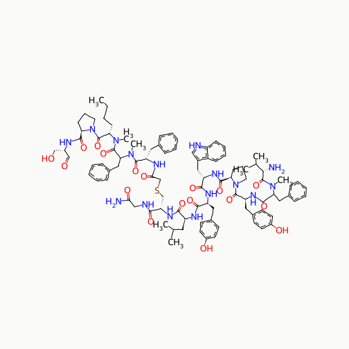 CCCC[C@@H](C(=O)N1CCC[C@@H]1C(=O)N[C@H](C=O)CO)N(C)C(=O)C(Cc1ccccc1)N(C)C(=O)[C@H](Cc1ccccc1)NC(=O)CSC[C@H](NC(=O)[C@H](CC(C)C)NC(=O)[C@H](Cc1ccc(O)cc1)NC(=O)[C@H](Cc1c[nH]c2ccccc12)NC(=O)[C@H]1CCCN1C(=O)[C@H](Cc1ccc(O)cc1)NC(=O)C(Cc1ccccc1)N(C)C(=O)[C@@H](N)C(C)C)C(=O)NCC(N)=O